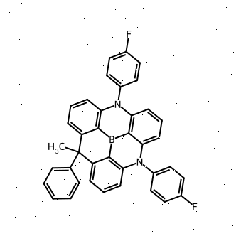 CC1(c2ccccc2)c2cccc3c2B2c4c(cccc4N(c4ccc(F)cc4)c4cccc1c42)N3c1ccc(F)cc1